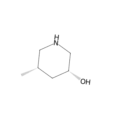 C[C@@H]1CNC[C@H](O)C1